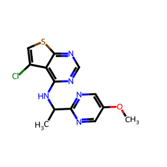 COc1cnc(C(C)Nc2ncnc3scc(Cl)c23)nc1